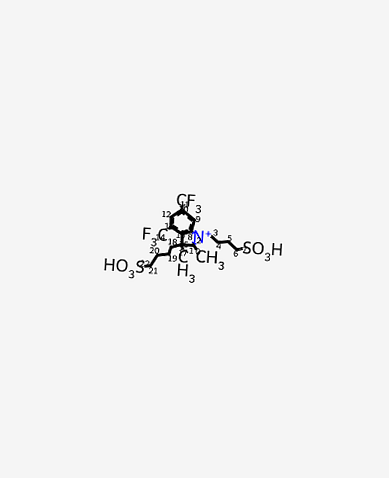 CC1=[N+](CCCCS(=O)(=O)O)c2cc(C(F)(F)F)cc(C(F)(F)F)c2C1(C)CCCCS(=O)(=O)O